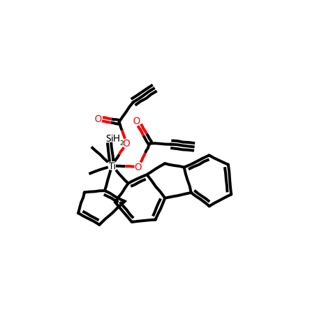 C#CC(=O)[O][Ti]([CH3])([CH3])(=[SiH2])([O]C(=O)C#C)([C]1=CC=CC1)[c]1cccc2c1Cc1ccccc1-2